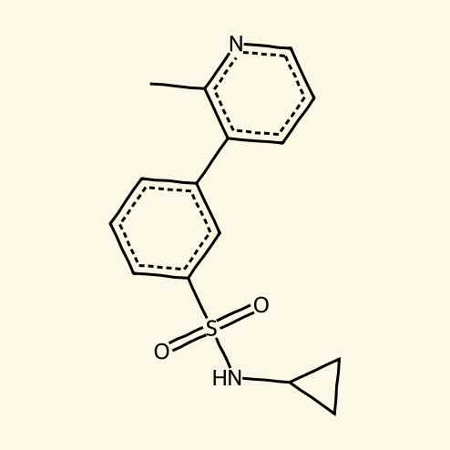 Cc1ncccc1-c1cccc(S(=O)(=O)NC2CC2)c1